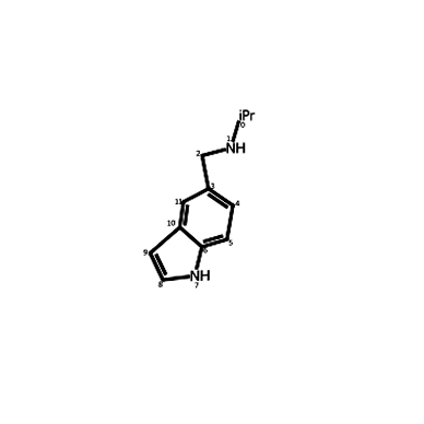 CC(C)NCc1ccc2[nH]ccc2c1